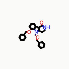 O=C1NCCc2c1c1cccc(OCc3ccccc3)c1n2COCc1ccccc1